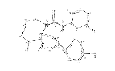 C=C(NC1CC(CC)=NC=N1)N1CCCCN(C)c2ccc(-c3ccc(C)nc3)nc21